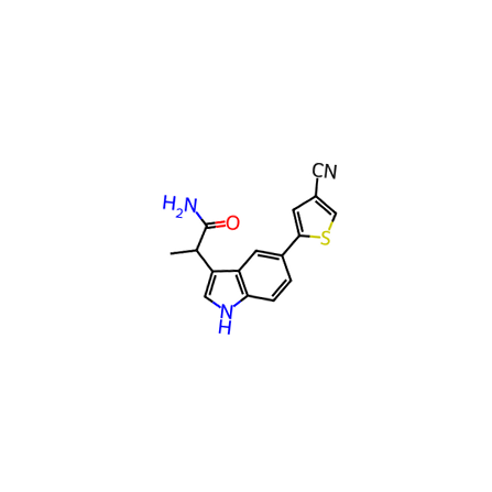 CC(C(N)=O)c1c[nH]c2ccc(-c3cc(C#N)cs3)cc12